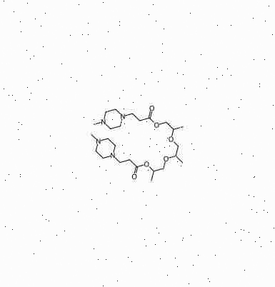 CC(COC(=O)CCN1CCN(C)CC1)OCC(C)OCC(C)OC(=O)CCN1CCN(C)CC1